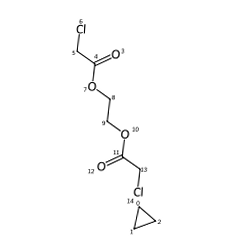 C1CC1.O=C(CCl)OCCOC(=O)CCl